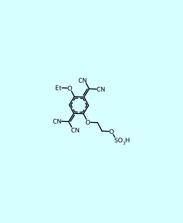 [C-]#[N+]/C(C#N)=c1/cc(OCCOS(=O)(=O)O)/c(=C(\C#N)[N+]#[C-])cc1OCC